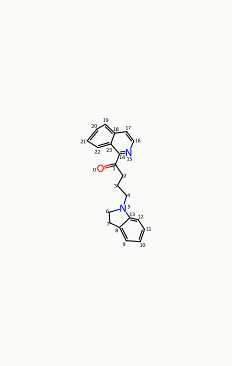 O=C([CH]CCN1CCc2ccccc21)c1nccc2ccccc12